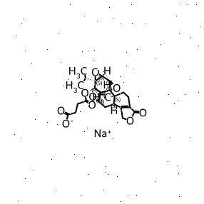 CC(C)[C@]12O[C@H]1[C@@H]1O[C@]13[C@]1(O[C@H]1C[C@H]1C4=C(CC[C@@]13C)C(=O)OC4)[C@@H]2OC(=O)CCC(=O)[O-].[Na+]